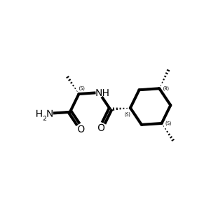 C[C@@H]1C[C@H](C)C[C@H](C(=O)N[C@@H](C)C(N)=O)C1